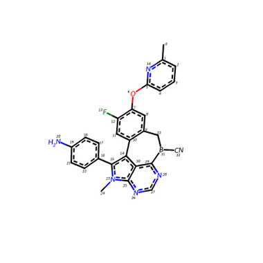 Cc1cccc(Oc2cc3c(cc2F)-c2c(-c4ccc(N)cc4)n(C)c4ncnc(c24)B(C#N)C3)n1